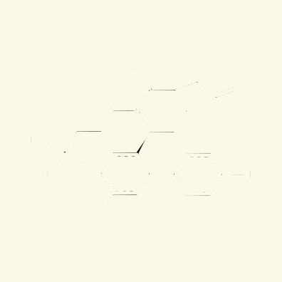 C=CC[C@@]1(C)C[C@H](c2cccc(Cl)c2)[C@@H](c2ccc(Cl)cc2)N(C(CC)CCC(C)(C)O)C1=O